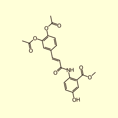 COC(=O)c1cc(O)ccc1NC(=O)C=Cc1ccc(OC(C)=O)c(OC(C)=O)c1